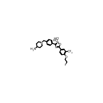 Cl.Cl.NC1CCN(Cc2ccc(-c3noc(-c4ccc(OCCF)c(C(F)(F)F)c4)n3)cc2)CC1